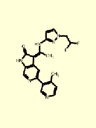 C/C(Nc1ccn(CC(F)F)n1)=C1/C(=O)Nc2cnc(-c3cnccc3C)cc21